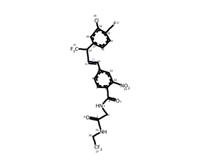 O=C(CNC(=O)c1ccc(/C=C/C(c2ccc(F)c(Cl)c2)C(F)(F)F)cc1[N+](=O)[O-])NCC(F)(F)F